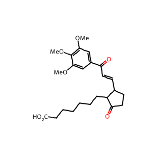 COc1cc(C(=O)/C=C/C2CCC(=O)C2CCCCCCC(=O)O)cc(OC)c1OC